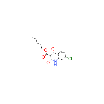 CCCCCOC(=O)C1C(=O)Nc2cc(Cl)ccc2C1=O